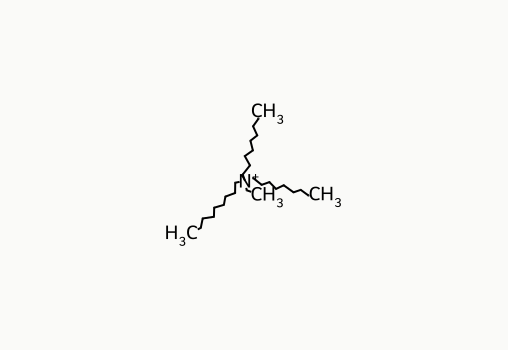 CCCCCCCCC[N+](CC)(CCCCCCCCC)CCCCCCCCC